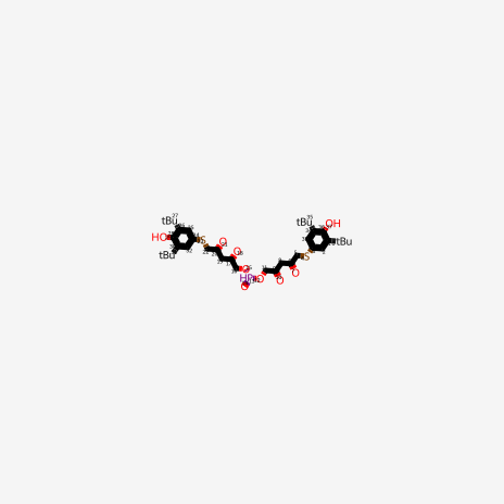 CC(C)(C)c1cc(SCC(=O)CC(=O)CO[PH](=O)OCC(=O)CC(=O)CSc2cc(C(C)(C)C)c(O)c(C(C)(C)C)c2)cc(C(C)(C)C)c1O